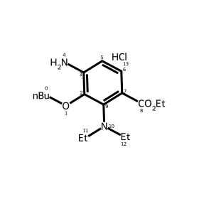 CCCCOc1c(N)ccc(C(=O)OCC)c1N(CC)CC.Cl